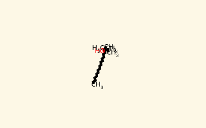 CCCCCCCCCCCCCCCCCC(O)(C(C)C)C(C)C